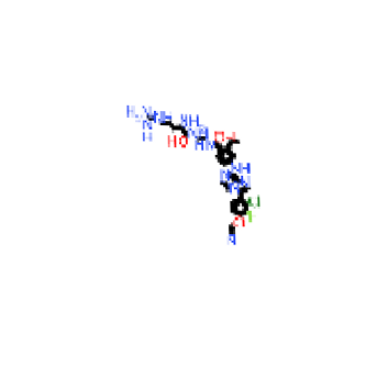 CCc1cc(Nc2nccn3c(-c4ccc(OCC#N)c(F)c4Cl)cnc23)ccc1C(O)NCCNC(O)C(N)CCCNC(=N)N